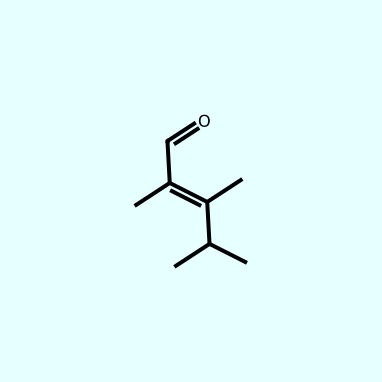 CC(C=O)=C(C)C(C)C